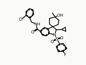 CC1(O)CCC2(CC1)c1cc(C(=O)NCc3ccccc3Cl)ccc1N(S(=O)(=O)c1ccc(F)cc1)C2C1CC1